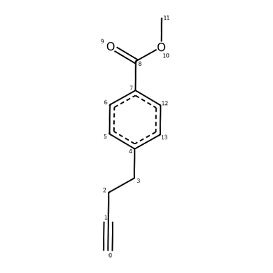 C#CCCc1ccc(C(=O)OC)cc1